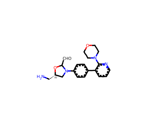 NC[C@H]1CN(c2ccc(-c3cccnc3N3CCOCC3)cc2)C(C=O)O1